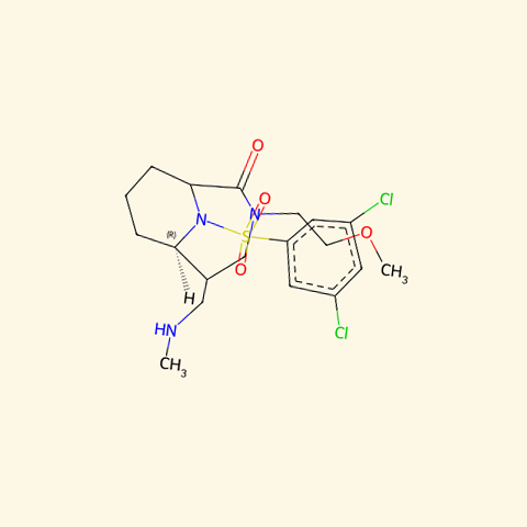 CNCC1CN(CCOC)C(=O)C2CCC[C@H]1N2S(=O)(=O)c1cc(Cl)cc(Cl)c1